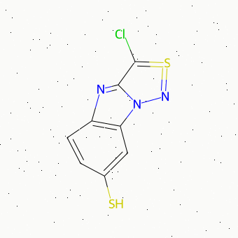 Sc1ccc2nc3n(c2c1)N=S=C3Cl